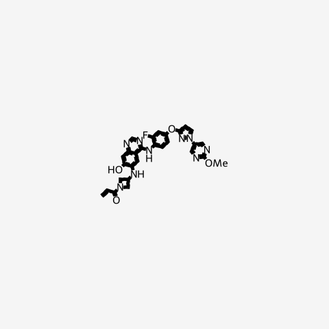 C=CC(=O)N1CC(Nc2cc3c(Nc4ccc(Oc5ccn(-c6cnc(OC)nc6)n5)cc4F)ncnc3cc2O)C1